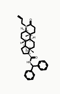 C=CCN1C(=O)CC[C@]2(C)[C@H]3CC[C@]4(C)[C@@H](C(=O)NC(c5ccccc5)c5ccccc5)CC[C@H]4[C@@H]3CC[C@@H]12